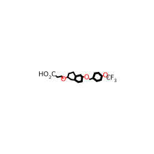 O=C(O)CCOC1CCc2cc(OCc3ccc(OC(F)(F)F)cc3)ccc2C1